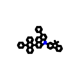 CC1(C)c2ccccc2-c2ccc(-n3c4ccc(-c5ccccc5)c5ccc6c(-c7c8ccccc8c(-c8ccccc8)c8ccccc78)ccc3c6c54)cc21